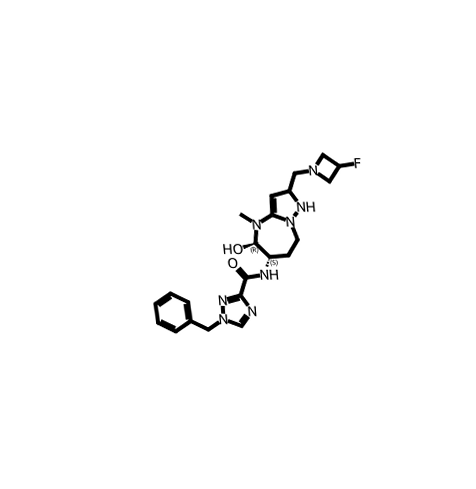 CN1C2=CC(CN3CC(F)C3)NN2CC[C@H](NC(=O)c2ncn(Cc3ccccc3)n2)[C@H]1O